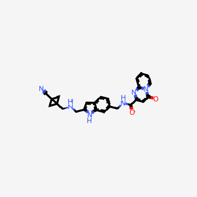 N#CC12CC1(CNCc1cc3ccc(CNC(=O)c4cc(=O)n5ccccc5n4)cc3[nH]1)C2